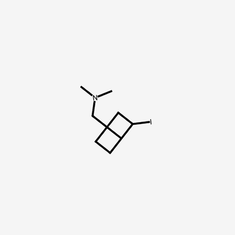 CN(C)CC12CCC1C(I)C2